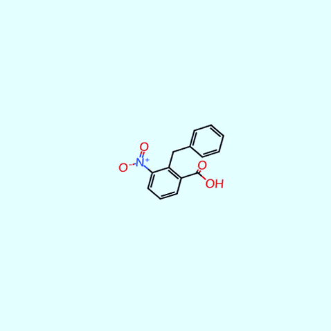 O=C(O)c1cccc([N+](=O)[O-])c1Cc1ccccc1